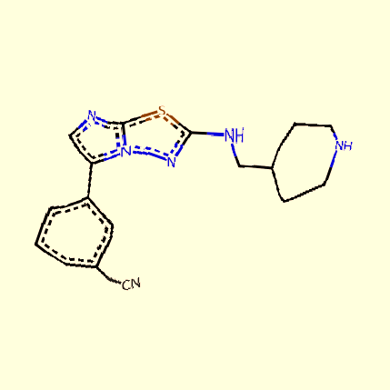 N#Cc1cccc(-c2cnc3sc(NCC4CCNCC4)nn23)c1